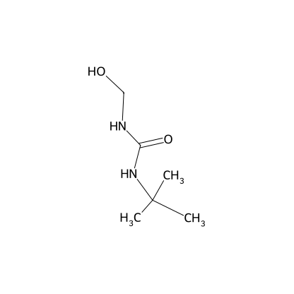 CC(C)(C)NC(=O)NCO